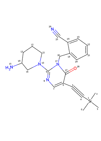 C[Si](C)(C)C#Cc1cnc(N2CCCC(N)C2)n(Cc2ccccc2C#N)c1=O